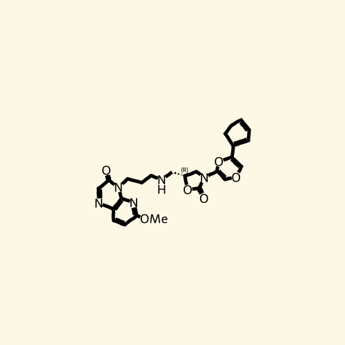 COc1ccc2ncc(=O)n(CCCNC[C@@H]3CN(C4=COC=C(C5=CC=CCC5)O4)C(=O)O3)c2n1